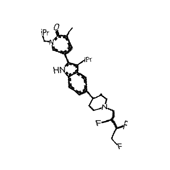 Cc1cc(-c2[nH]c3ccc(C4CCN(CC(F)C(F)CF)CC4)cc3c2C(C)C)cn(CC(C)C)c1=O